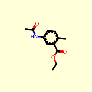 CCOC(=O)c1cc(NC(C)=O)ccc1C